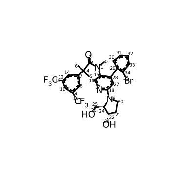 CN(C(=O)C(C)(C)c1cc(C(F)(F)F)cc(C(F)(F)F)c1)c1cnc(N2CC[C@H](O)[C@H]2CO)cc1-c1ccccc1Br